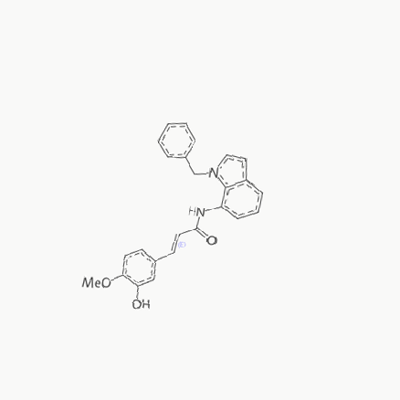 COc1ccc(/C=C/C(=O)Nc2cccc3ccn(Cc4ccccc4)c23)cc1O